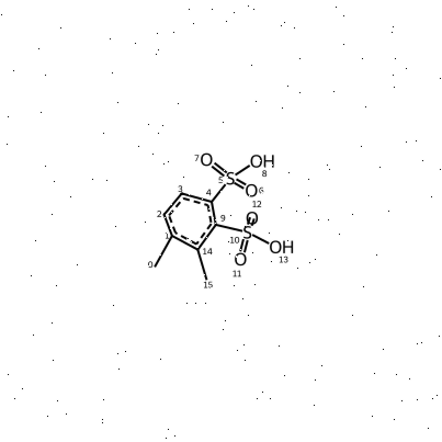 Cc1ccc(S(=O)(=O)O)c(S(=O)(=O)O)c1C